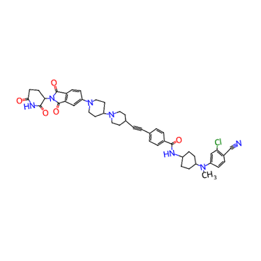 CN(c1ccc(C#N)c(Cl)c1)C1CCC(NC(=O)c2ccc(C#CC3CCN(C4CCN(c5ccc6c(c5)C(=O)N(C5CCC(=O)NC5=O)C6=O)CC4)CC3)cc2)CC1